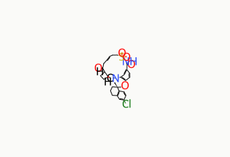 O=C1NS(=O)(=O)CC/C=C/CC(=O)[C@@H]2CC[C@H]2CN2C[C@@]3(CCCc4cc(Cl)ccc43)COc3ccc1cc32